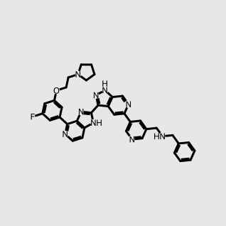 Fc1cc(OCCN2CCCC2)cc(-c2nccc3[nH]c(-c4n[nH]c5cnc(-c6cncc(CNCc7ccccc7)c6)cc45)nc23)c1